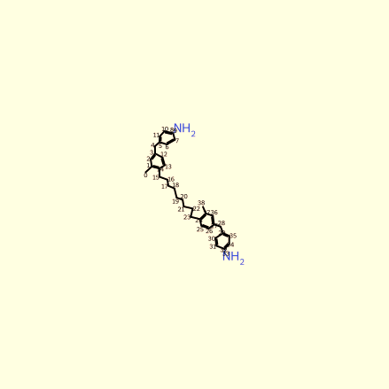 Cc1cc(Cc2ccc(N)cc2)ccc1CCCCCCCCCc1ccc(Cc2ccc(N)cc2)cc1C